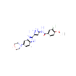 COc1ccc(C(=O)Nc2cc(-c3nc4cc(N5CCOCC5)ccc4[nH]3)[nH]n2)cc1Cl